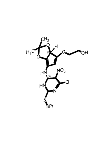 CCCSC1N=C(Cl)C([N+](=O)[O-])[C@@H](NC2=C3OC(C)(C)O[C@@H]3C(OCCO)=C2)N1